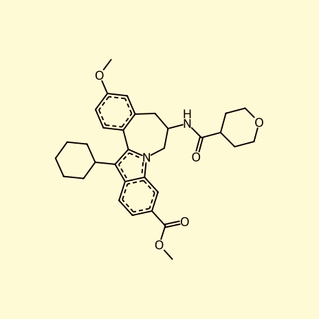 COC(=O)c1ccc2c(C3CCCCC3)c3n(c2c1)CC(NC(=O)C1CCOCC1)Cc1cc(OC)ccc1-3